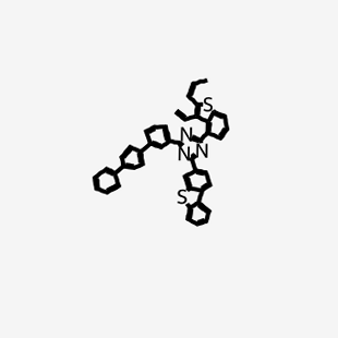 C=Cc1c(/C=C\C)sc2cccc(-c3nc(-c4cccc(-c5ccc(-c6ccccc6)cc5)c4)nc(-c4ccc5c(c4)sc4ccccc45)n3)c12